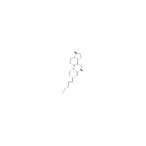 C[C@]12CCC(CCCCCN)CC1C(=O)C[C@@H]1[C@H]2CC[C@]2(C)C(=O)CC[C@@H]12.Cl